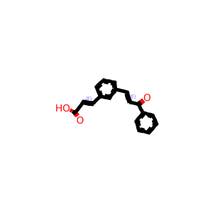 O=C(O)/C=C/c1cccc(/C=C/C(=O)c2ccccc2)c1